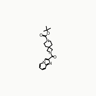 CC(C)(C)OC(=O)N1CCC2(CC1)CN(C(=O)c1cn3ccccc3n1)C2